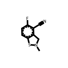 CN1Cc2c(ccc(F)c2C#N)S1